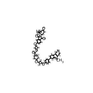 Cn1c2ccncc2c2ccc(-c3ccc(OC4CC(OC5CCN(C(=O)CN6CC(Oc7ccc8c(c7)C(=O)N(C7CCC(=O)NC7=O)C8=O)C6)CC5)C4)nc3)cc21